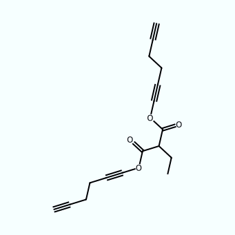 C#CCCC#COC(=O)C(CC)C(=O)OC#CCCC#C